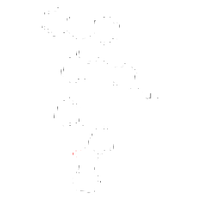 Cc1ccc(-c2c3ccccc3c(-c3ccccc3)c3ccc(-c4cccc(-c5cccc6c5oc5ccccc56)c4)cc23)cc1